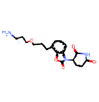 NCCCOCCCc1cccc2c1oc(=O)n2C1CCC(=O)NC1=O